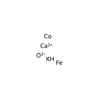 [Ca+2].[Co].[Fe].[KH].[O-2]